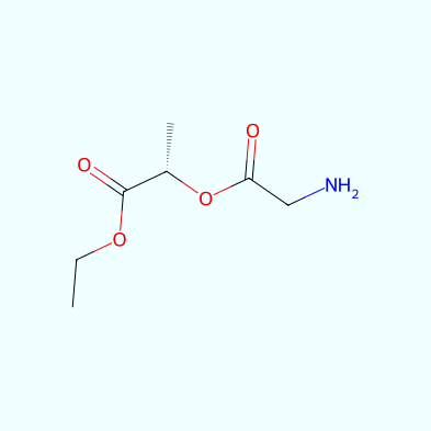 CCOC(=O)[C@H](C)OC(=O)CN